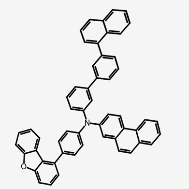 c1cc(-c2cccc(N(c3ccc(-c4cccc5oc6ccccc6c45)cc3)c3ccc4c(ccc5ccccc54)c3)c2)cc(-c2cccc3ccccc23)c1